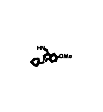 COc1ccc2c(c1)c(C=N)cn2Cc1ccccc1